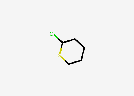 Cl[C]1CCCCS1